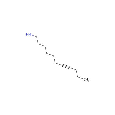 CCCC#CCCCCCC[NH]